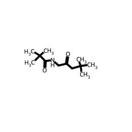 CC(C)(C)CC(=O)CNC(=O)C(C)(C)C